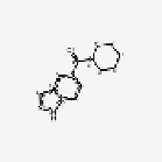 O=C(c1ccc2[nH]ncc2c1)N1CCCCC1